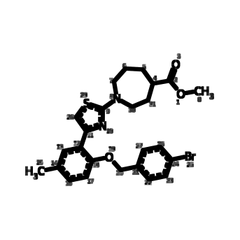 COC(=O)C1CCCN(c2nc(-c3cc(C)ccc3OCc3ccc(Br)cc3)cs2)CC1